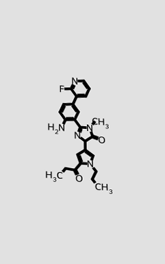 CCCn1cc(C2N=C(c3cc(-c4cccnc4F)ccc3N)N(C)C2=O)cc1C(=O)CC